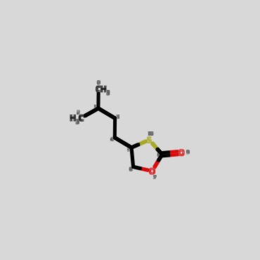 CC(C)CCC1COC(=O)S1